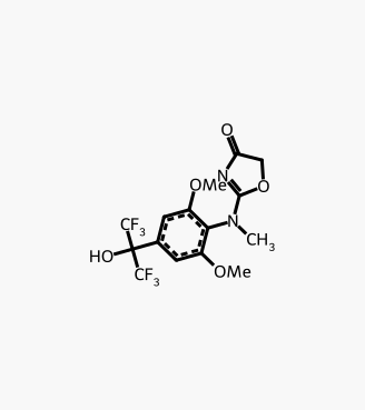 COc1cc(C(O)(C(F)(F)F)C(F)(F)F)cc(OC)c1N(C)C1=NC(=O)CO1